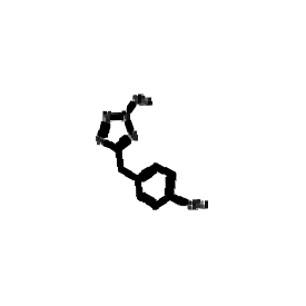 CC(C)(C)c1ccc(Cc2nnn(C(C)(C)C)n2)cc1